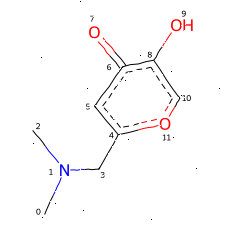 CN(C)Cc1cc(=O)c(O)co1